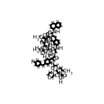 C[C@@H]1COCCN1C[C@H]1CN(C(=O)O)[C@H](C)CN1CC(=O)N1C[C@](C)(C(=O)NCC(=O)Nc2ccc3c(c2)CN(C(=O)[C@@H](NC(=O)[C@H](C)N(C)C(=O)OC(C)(C)C)C(C)(C)C)[C@H](C(=O)N[C@@H]2CCCc4ccccc42)C3)c2ccc(Cc3ccc(F)cc3)cc21